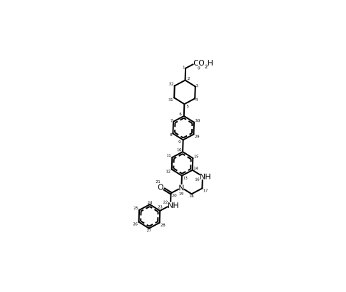 O=C(O)CC1CCC(c2ccc(-c3ccc4c(c3)NCCN4C(=O)Nc3ccccc3)cc2)CC1